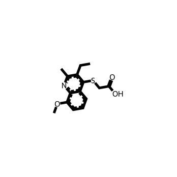 CCc1c(C)nc2c(OC)cccc2c1SCC(=O)O